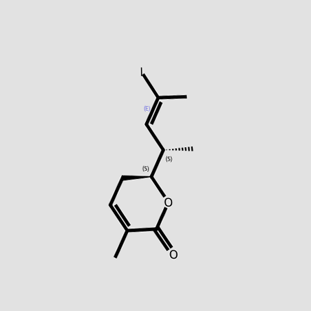 CC1=CC[C@@H]([C@@H](C)/C=C(\C)I)OC1=O